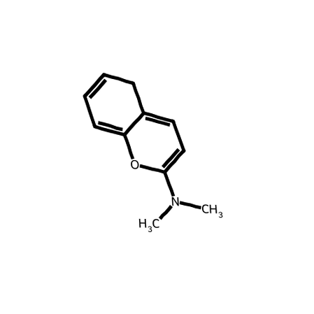 CN(C)C1=CC=C2CC=CC=C2O1